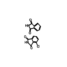 O=C1NC(=O)c2c(Cl)cccc21.O=C1NC(=O)c2ccccc21